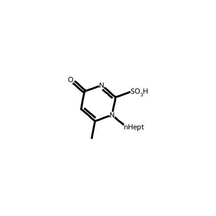 CCCCCCCn1c(C)cc(=O)nc1S(=O)(=O)O